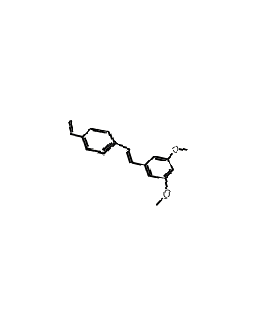 C=Cc1ccc(C=Cc2cc(OC)cc(OC)c2)cc1